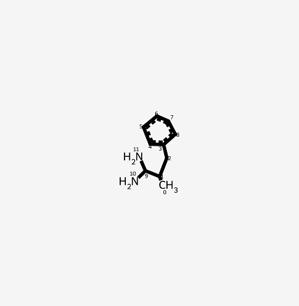 CC(Cc1ccccc1)C(N)N